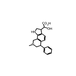 CN1Cc2c(ccc3c2NCC3C(O)C(=O)O)C(c2ccccc2)C1